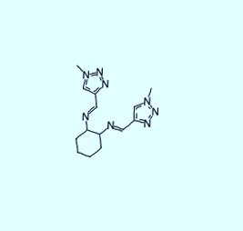 Cn1cc(/C=N/C2CCCCC2/N=C/c2cn(C)nn2)nn1